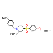 CC#CCOc1ccc(S(=O)(=O)C2CCN(Cc3ccc(OC)cc3)C(C(=O)OCC)C2)cc1